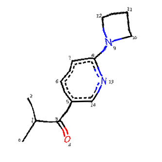 CC(C)C(=O)c1ccc(N2CCC2)nc1